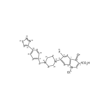 CCn1cc(C(=O)O)c(=O)c2cc(F)c(N3CCN(Cc4ccc(-c5csnn5)cc4)CC3)cc21